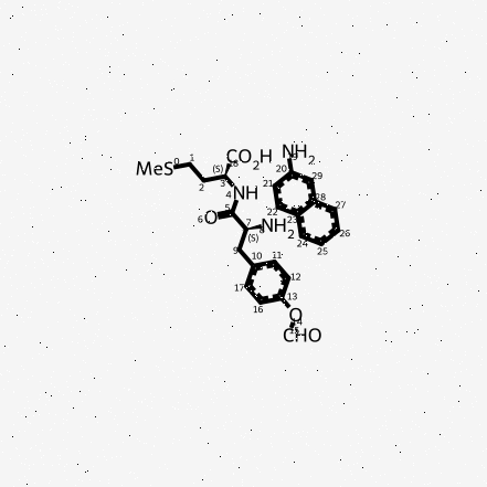 CSCC[C@H](NC(=O)[C@@H](N)Cc1ccc(OC=O)cc1)C(=O)O.Nc1ccc2ccccc2c1